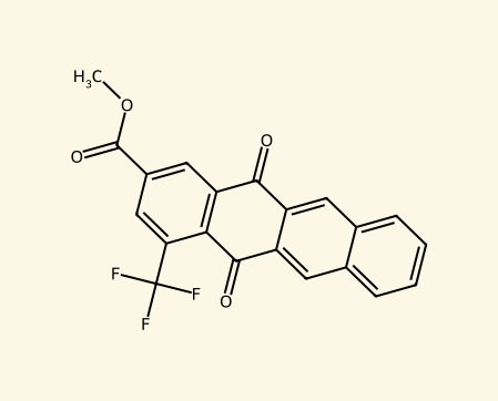 COC(=O)c1cc2c(c(C(F)(F)F)c1)C(=O)c1cc3ccccc3cc1C2=O